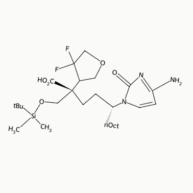 CCCCCCCC[C@H](CC[C@@](CO[Si](C)(C)C(C)(C)C)(C(=O)O)C1COCC1(F)F)n1ccc(N)nc1=O